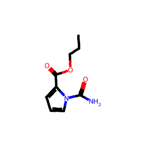 CCCOC(=O)c1cccn1C(N)=O